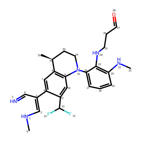 CN/C=C(\C=N)c1cc2c(cc1C(F)F)N(c1cccc(NC)c1NCCC=O)CC[C@@H]2C